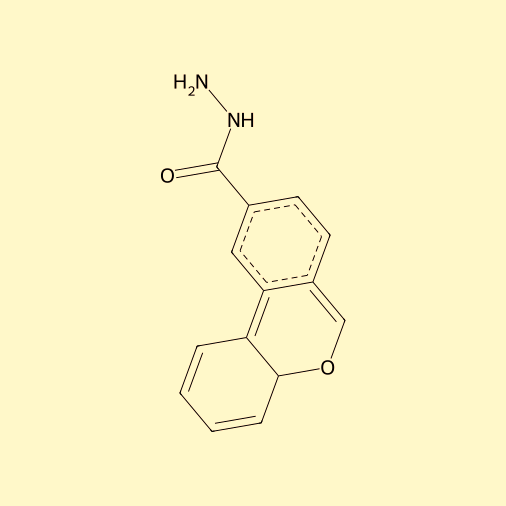 NNC(=O)c1ccc2c(c1)=C1C=CC=CC1OC=2